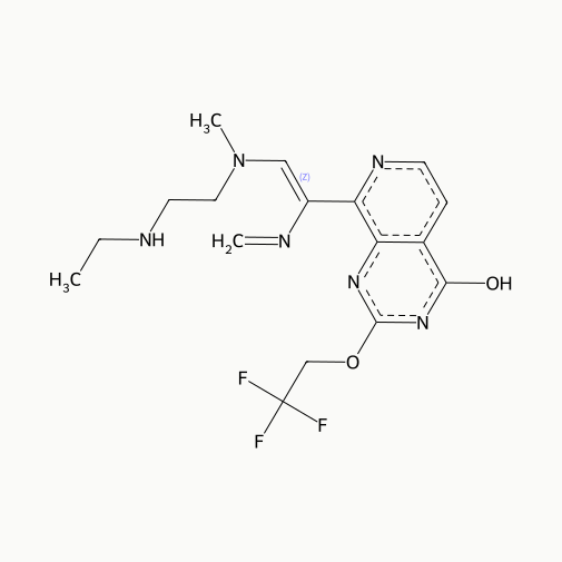 C=N/C(=C\N(C)CCNCC)c1nccc2c(O)nc(OCC(F)(F)F)nc12